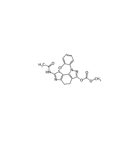 COC(=O)Oc1nn(-c2ccccc2Cl)c2c1CCc1nc(NC(C)=O)sc1-2